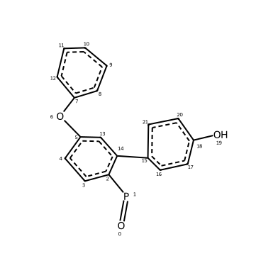 O=Pc1ccc(Oc2ccccc2)cc1-c1ccc(O)cc1